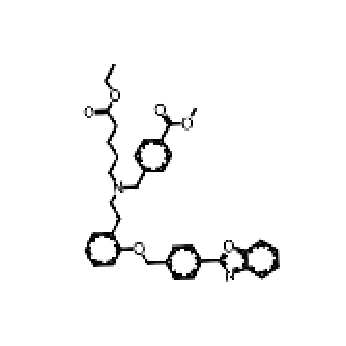 CCOC(=O)CCCCN(CCc1ccccc1OCc1ccc(-c2nc3ccccc3o2)cc1)Cc1ccc(C(=O)OC)cc1